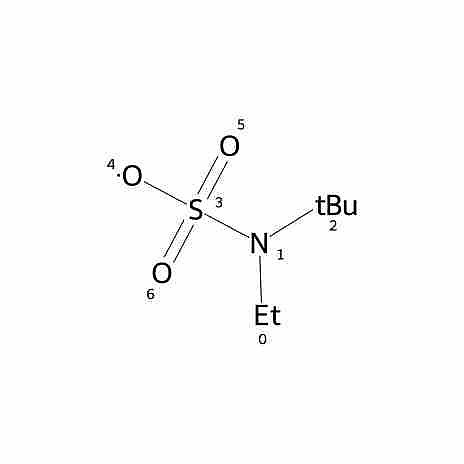 CCN(C(C)(C)C)S([O])(=O)=O